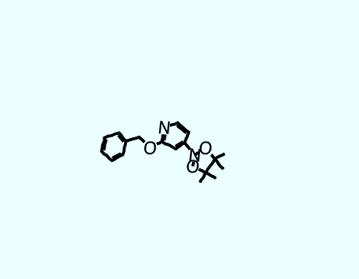 CC1(C)ON(c2ccnc(OCc3ccccc3)c2)OC1(C)C